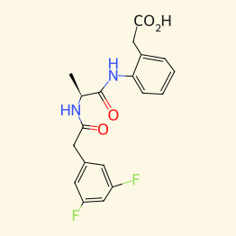 C[C@H](NC(=O)Cc1cc(F)cc(F)c1)C(=O)Nc1ccccc1CC(=O)O